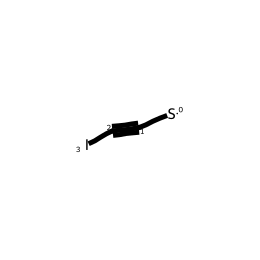 [S]C#CI